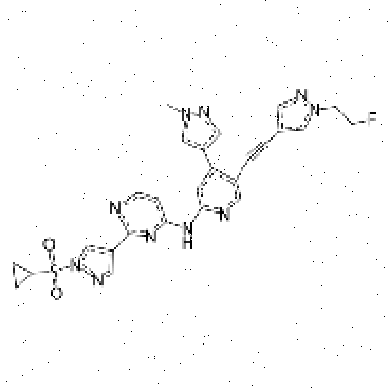 Cn1cc(-c2cc(Nc3ccnc(-c4cnn(S(=O)(=O)C5CC5)c4)n3)ncc2C#Cc2cnn(CCF)c2)cn1